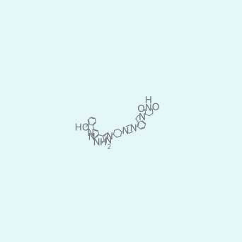 Cc1nn(C2CCC(N3CCN(c4cccc5c4CCN5[C@@H]4CCC(=O)NC4=O)CC3)CC2)cc1-c1cc(-c2ccccc2O)nnc1N